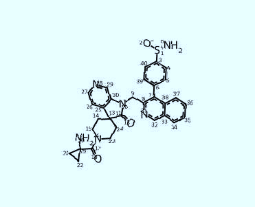 N[S+]([O-])c1ccc(-c2c(CN3C(=O)C4(CCN(C(=O)C5(N)CC5)CC4)c4ccncc43)ncc3ccccc23)cc1